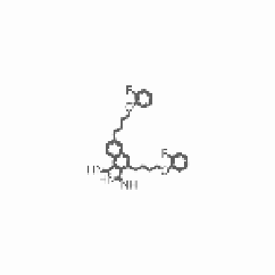 N=C1NC(=N)c2c1c(CCCCOc1ccccc1F)cc1cc(CCCCOc3ccccc3F)ccc21